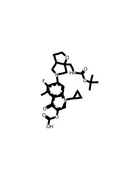 Cc1c(F)c(N2CC3CCOC3(CNC(=O)OC(C)(C)C)C2)cc2c1c(=O)c(OC(=O)O)cn2C1CC1